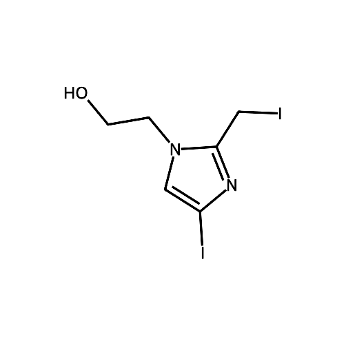 OCCn1cc(I)nc1CI